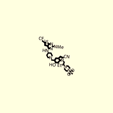 CC[C@@H](Cn1c(C#N)cc2cc(CN3CCC(Nc4nc(NC)nc5sc(CC(F)(F)F)cc45)CC3)c(O)cc21)N1CCN(S(C)(=O)=O)CC1